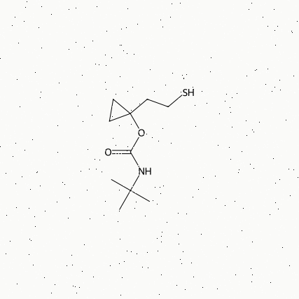 CC(C)(C)NC(=O)OC1(CCS)CC1